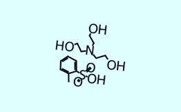 Cc1ccccc1S(=O)(=O)O.OCCN(CCO)CCO